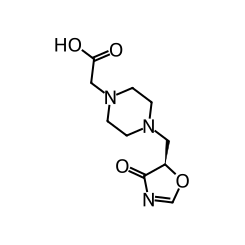 O=C(O)CN1CCN(C[C@H]2OC=NC2=O)CC1